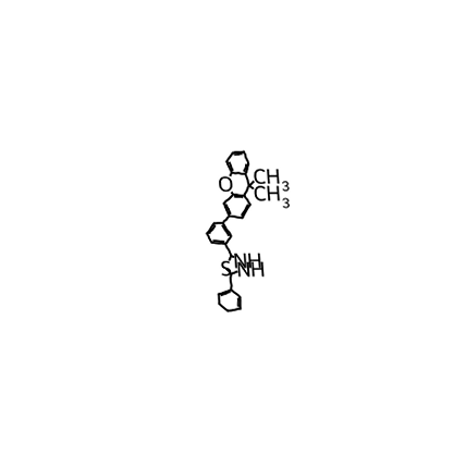 CC1(C)c2ccccc2Oc2cc(-c3cccc(C4NNC(C5=CCCC=C5)S4)c3)ccc21